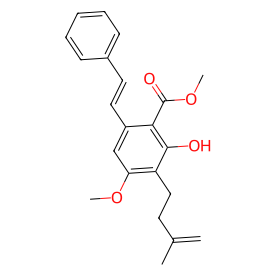 C=C(C)CCc1c(OC)cc(C=Cc2ccccc2)c(C(=O)OC)c1O